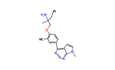 CC(C)CC(C)(N)COc1ccc(-c2ncnc3c2ccn3C)cc1C#N